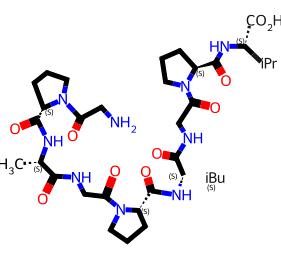 CC[C@H](C)[C@H](NC(=O)[C@@H]1CCCN1C(=O)CNC(=O)[C@H](C)NC(=O)[C@@H]1CCCN1C(=O)CN)C(=O)NCC(=O)N1CCC[C@H]1C(=O)N[C@H](C(=O)O)C(C)C